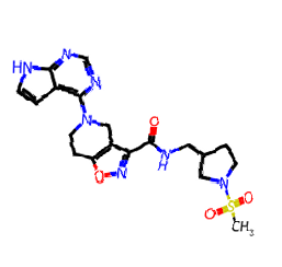 CS(=O)(=O)N1CCC(CNC(=O)c2noc3c2CN(c2ncnc4[nH]ccc24)CC3)C1